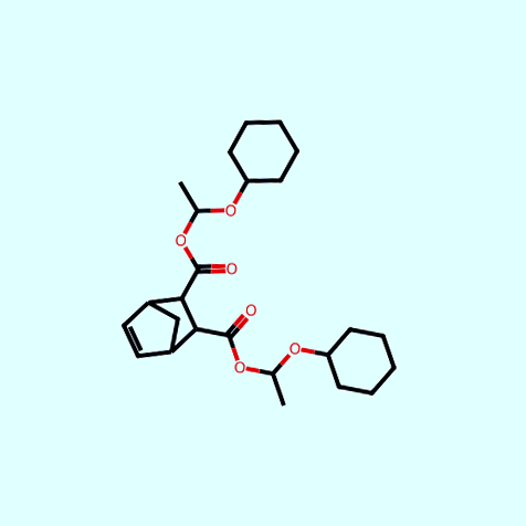 CC(OC(=O)C1C2C=CC(C2)C1C(=O)OC(C)OC1CCCCC1)OC1CCCCC1